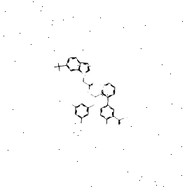 NC(=O)c1cc(-c2cccnc2[C@H](Cc2cc(F)cc(F)c2)NC(=O)Cn2ccc3ccc(C(F)(F)F)cc32)ccc1F